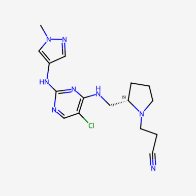 Cn1cc(Nc2ncc(Cl)c(NC[C@@H]3CCCN3CCC#N)n2)cn1